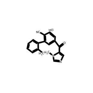 Cc1ccccc1-c1cc(C(=O)c2cncn2C)ccc1C#N.Cl